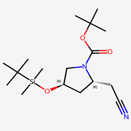 CC(C)(C)OC(=O)N1C[C@H](O[Si](C)(C)C(C)(C)C)C[C@H]1CC#N